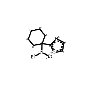 CCN(CC)C1(c2ncco2)CCCCC1